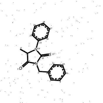 CC1C(=O)N(Cc2ccccc2)C(=S)N1c1ccccc1